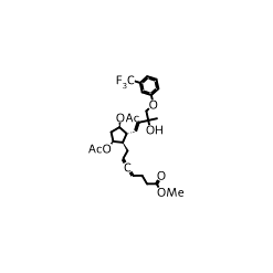 COC(=O)CCC=C=CC[C@@H]1[C@@H](C=CC(C)(O)COc2cccc(C(F)(F)F)c2)[C@H](OC(C)=O)C[C@@H]1OC(C)=O